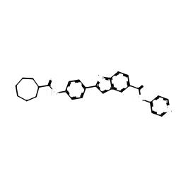 O=C(Nc1ccncc1)c1ccc2[nH]c(-c3ccc(NC(=O)C4CCCCCC4)cc3)cc2c1